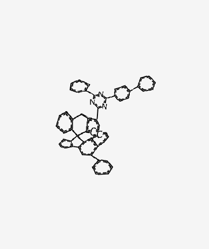 c1ccc(-c2ccc(-c3nc(-c4ccccc4)nc(-c4cccc5c4Cc4ccccc4C54c5ccccc5-c5cc(-c6ccccc6)c6ccccc6c54)n3)cc2)cc1